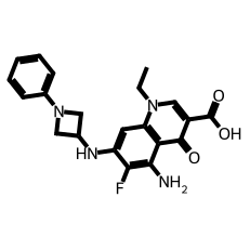 CCn1cc(C(=O)O)c(=O)c2c(N)c(F)c(NC3CN(c4ccccc4)C3)cc21